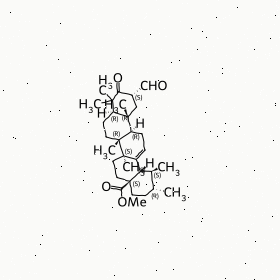 COC(=O)[C@]12CC[C@@H](C)[C@H](C)[C@H]1C1=CC[C@@H]3[C@@]4(C)C[C@@H](C=O)C(=O)C(C)(C)[C@@H]4CC[C@@]3(C)[C@]1(C)CC2